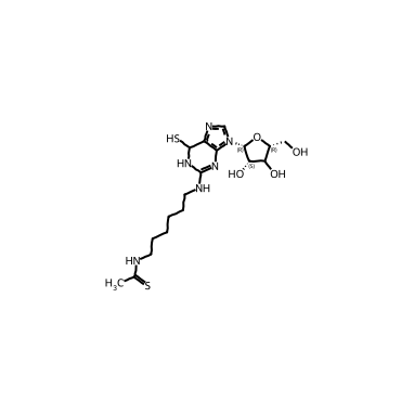 CC(=S)NCCCCCCNC1=Nc2c(ncn2[C@@H]2O[C@H](CO)C(O)[C@@H]2O)C(S)N1